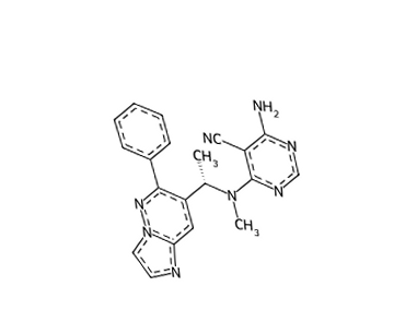 C[C@@H](c1cc2nccn2nc1-c1ccccc1)N(C)c1ncnc(N)c1C#N